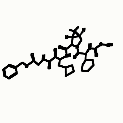 CC(C)(C)OC(=O)N[C@H](C(=O)N1C[C@H]2[C@@H](C1C(=O)N[C@@H](CC1CCC1)C(=O)C(=O)NCC(=O)OCc1ccccc1)C2(C)C)C1CCCCC1